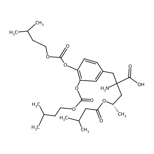 CC(C)CCOC(=O)Oc1ccc(CC(N)(C[C@H](C)OC(=O)CC(C)C)C(=O)O)cc1OC(=O)OCCC(C)C